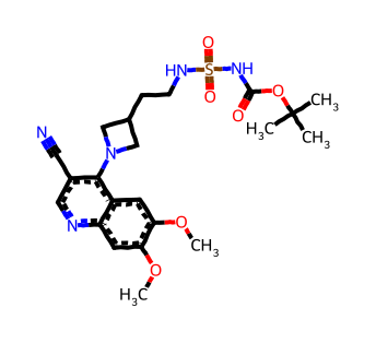 COc1cc2ncc(C#N)c(N3CC(CCNS(=O)(=O)NC(=O)OC(C)(C)C)C3)c2cc1OC